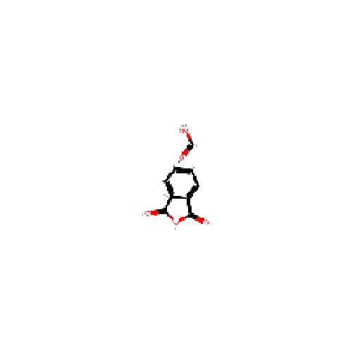 O=C1OC(=O)c2ccccc21.O=CO